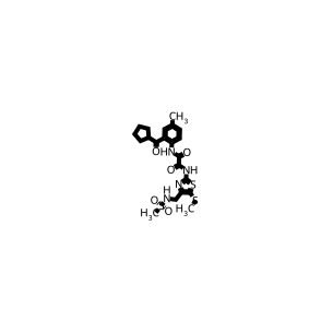 CSc1sc(NC(=O)C(=O)Nc2ccc(C)cc2C(=O)C2CCCC2)nc1CNS(C)(=O)=O